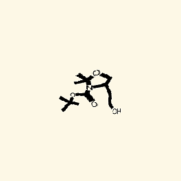 CC(C)(C)OC(=O)N1C(CCO)COC1(C)C